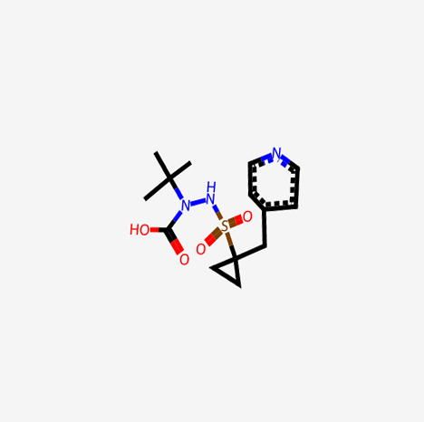 CC(C)(C)N(NS(=O)(=O)C1(Cc2ccncc2)CC1)C(=O)O